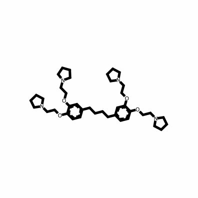 c1cc(OCCN2CCCC2)c(OCCN2CCCC2)cc1CCCCc1ccc(OCCN2CCCC2)c(OCCN2CCCC2)c1